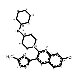 Cc1noc(-c2cc3ccc(Cl)cc3nc2N2CCC(NC3CCCCC3)CC2)n1